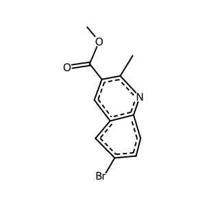 COC(=O)c1cc2cc(Br)ccc2nc1C